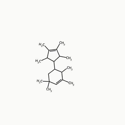 CC1=CC(C)(C)CC([C]2C(C)C(C)=C(C)C2C)C1C